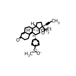 CC#C[C@]1(C(=O)CC)CC[C@H]2[C@@H]3CCC4=CC(=O)CCC4=C3[C@@H](c3ccc([S+](C)[O-])cc3)C[C@@]21C